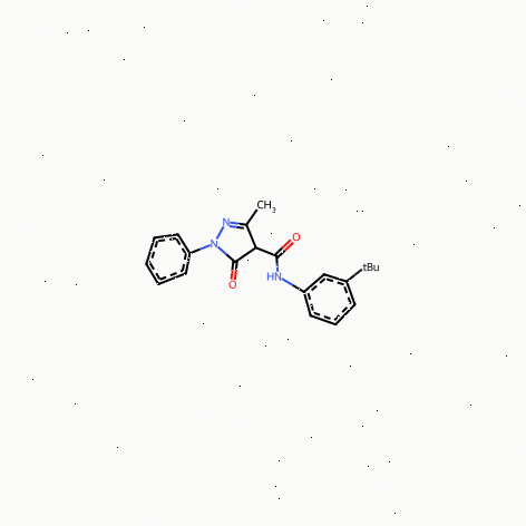 CC1=NN(c2ccccc2)C(=O)C1C(=O)Nc1cccc(C(C)(C)C)c1